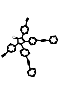 C#Cc1ccc(C2=C(c3ccc(C#Cc4ccccc4)cc3)C(c3ccc(C#Cc4ccccc4)cc3)=C(c3ccc(C#C)cc3)C2=O)cc1